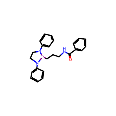 O=C(NCCCP1N(c2ccccc2)CCN1c1ccccc1)c1ccccc1